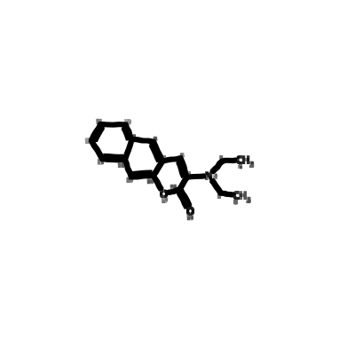 CCN(CC)c1cc2cc3ccccc3cc2oc1=O